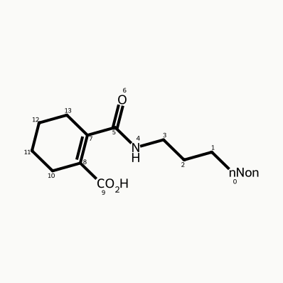 CCCCCCCCCCCCNC(=O)C1=C(C(=O)O)CCCC1